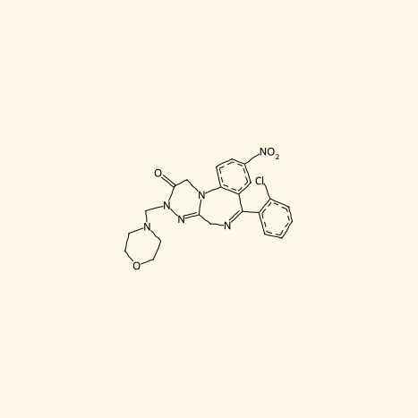 O=C1CN2C(=NN1CN1CCOCC1)CN=C(c1ccccc1Cl)c1cc([N+](=O)[O-])ccc12